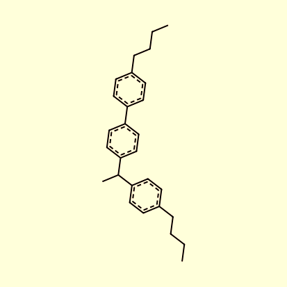 CCCCc1ccc(-c2ccc(C(C)c3ccc(CCCC)cc3)cc2)cc1